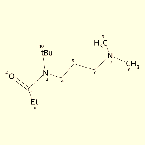 CCC(=O)N(CCCN(C)C)C(C)(C)C